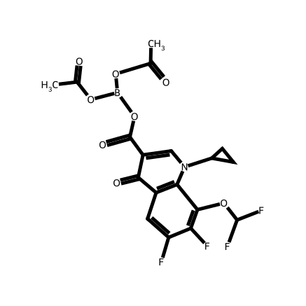 CC(=O)OB(OC(C)=O)OC(=O)c1cn(C2CC2)c2c(OC(F)F)c(F)c(F)cc2c1=O